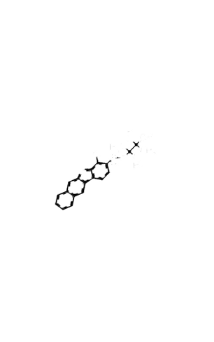 CC(C)(O)C(C)(C)OBc1ccc2c(sc3cc4ccccc4cc32)c1Cl